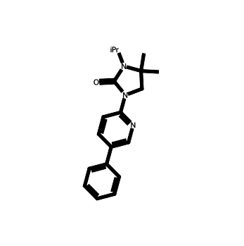 CC(C)N1C(=O)N(c2ccc(-c3ccccc3)cn2)CC1(C)C